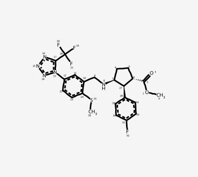 COC(=O)[C@H]1CC[C@H](NCc2cc(-n3nnnc3C(F)(F)F)ccc2SC)[C@@H]1c1ccc(F)cc1